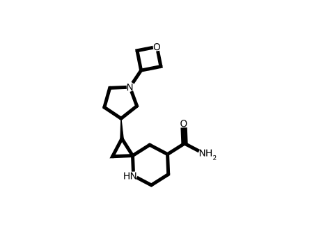 NC(=O)C1CCNC2(C1)CC2[C@H]1CCN(C2COC2)C1